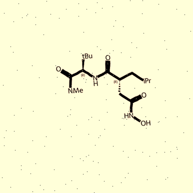 CNC(=O)[C@H](NC(=O)[C@@H](CC(=O)NO)CC(C)C)C(C)(C)C